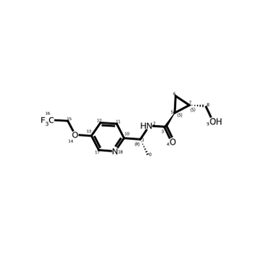 C[C@@H](NC(=O)[C@H]1C[C@@H]1CO)c1ccc(OCC(F)(F)F)cn1